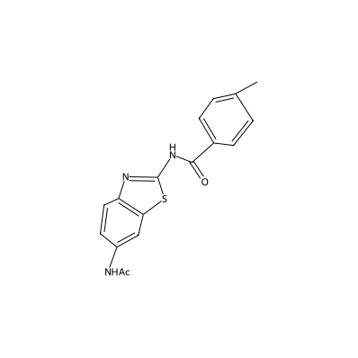 CC(=O)Nc1ccc2nc(NC(=O)c3ccc(C)cc3)sc2c1